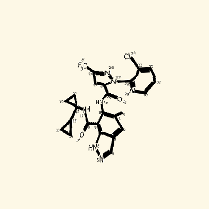 Cc1cc2cn[nH]c2c(C(=O)NC2(C3CC3)CC2)c1NC(=O)c1cc(C(F)(F)F)nn1-c1ncccc1Cl